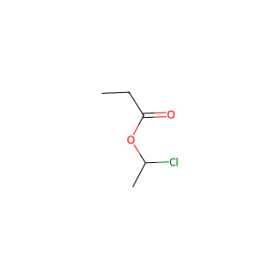 CCC(=O)OC(C)Cl